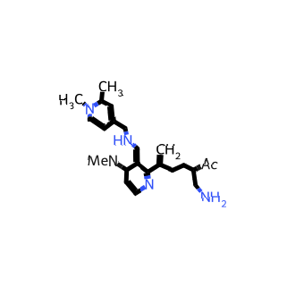 C=C(CCC(CN)C(C)=O)C1=NC=CC(NC)/C1=C\NCC1=CC(C)N(C)C=C1